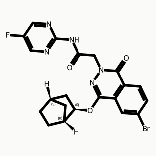 O=C(Cn1nc(O[C@@H]2C[C@H]3CC[C@@H]2C3)c2cc(Br)ccc2c1=O)Nc1ncc(F)cn1